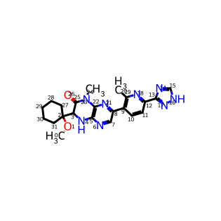 COC1(C2Nc3ncc(-c4ccc(-c5nc[nH]n5)nc4C)nc3N(C)C2=O)CCCCC1